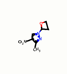 Cc1nn(C2CCO2)cc1[N+](=O)[O-]